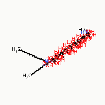 CCCCCCCCCCCCC/C=C/[C@@H](O)[C@H](CO[C@@H]1OC(CO)[C@@H](O[C@@H]2OC(CO)[C@H](O[C@@H]3OC(CO)[C@H](O)[C@H](O[C@H]4OC(CO)[C@H](O)[C@H](O[C@H]5OC(CO)[C@H](O)[C@H](O[C@H]6OC(CO)[C@H](O)[C@H](O[C@H]7OC(CO)[C@H](O)[C@H](O[C@H]8OC(CO)[C@H](O)[C@H](O[C@@H]9OC(CO)[C@H](O)[C@H](O)C9NC(C)=O)C8O)C7O)C6O)C5O)C4O)C3O)[C@H](O)C2O)[C@H](O)C1O)NC(=O)CCCCCCCCCCCCCCCCCCCCC